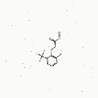 O=NC(=O)CCc1c(F)cccc1C(F)(F)F